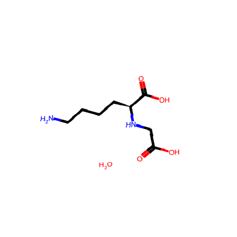 NCCCC[C@H](NCC(=O)O)C(=O)O.O